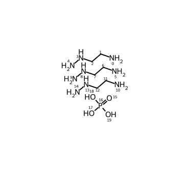 NCCNN.NCCNN.NCCNN.O=P(O)(O)O